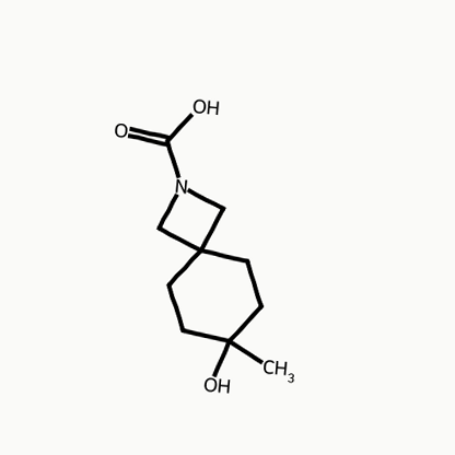 CC1(O)CCC2(CC1)CN(C(=O)O)C2